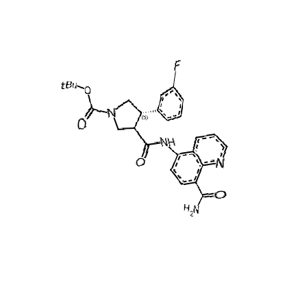 CC(C)(C)OC(=O)N1CC(C(=O)Nc2ccc(C(N)=O)c3ncccc23)[C@@H](c2cccc(F)c2)C1